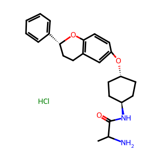 CC(N)C(=O)N[C@H]1CC[C@H](Oc2ccc3c(c2)CC[C@H](c2ccccc2)O3)CC1.Cl